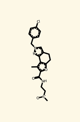 Cc1c(C(=O)NCC[S+](C)[O-])oc2c1-c1nn(Cc3ccc(Cl)cc3)cc1CC2